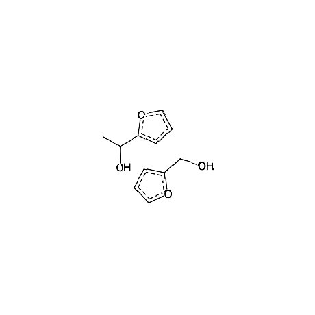 CC(O)c1ccco1.OCc1ccco1